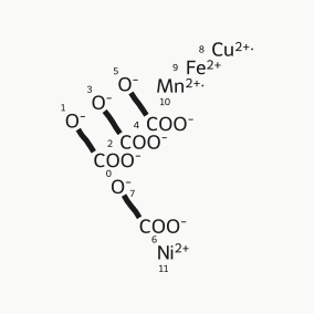 O=C([O-])[O-].O=C([O-])[O-].O=C([O-])[O-].O=C([O-])[O-].[Cu+2].[Fe+2].[Mn+2].[Ni+2]